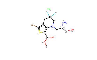 COC(=O)c1sc(Br)c2c1N(C[C@H](N)CO)CC(F)(F)C2.Cl